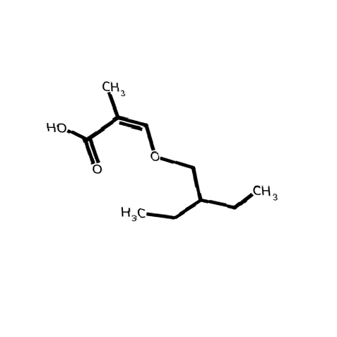 CCC(CC)COC=C(C)C(=O)O